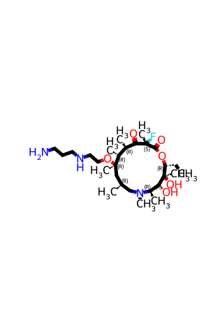 CC[C@H]1OC(=O)[C@@](C)(F)C(=O)[C@H](C)[C@@H](C)[C@](C)(OCCNCCCN)C[C@@H](C)CN(C)[C@H](C)[C@@H](O)[C@]1(C)O